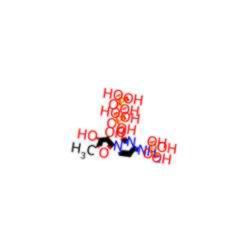 C[C@H]1O[C@@H](n2ccc(N)nc2=O)[C@H](O)[C@@H]1O.O=P(O)(O)O.O=P(O)(O)O.O=P(O)(O)O